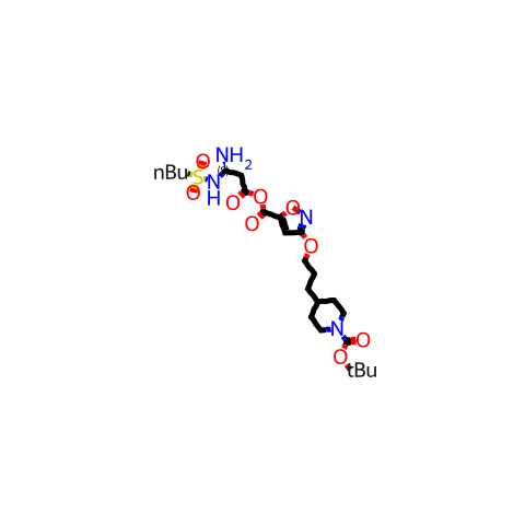 CCCCS(=O)(=O)N[C@H](N)CC(=O)OC(=O)c1cc(OCCCC2CCN(C(=O)OC(C)(C)C)CC2)no1